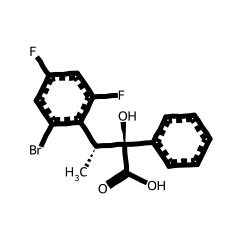 C[C@H](c1c(F)cc(F)cc1Br)[C@@](O)(C(=O)O)c1ccccc1